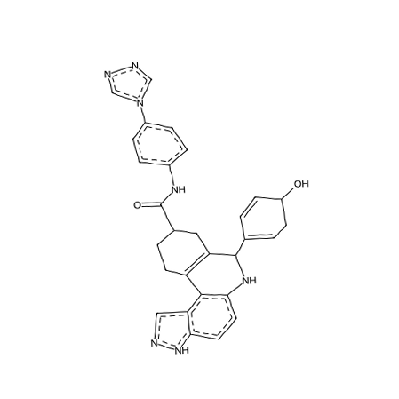 O=C(Nc1ccc(-n2cnnc2)cc1)C1CCC2=C(C1)C(C1=CCC(O)C=C1)Nc1ccc3[nH]ncc3c12